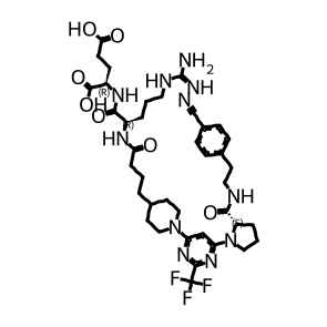 N#Cc1ccc(CCNC(=O)[C@@H]2CCCN2c2cc(N3CCC(CCCC(=O)N[C@H](CCCNC(=N)N)C(=O)N[C@H](CCC(=O)O)C(=O)O)CC3)nc(C(F)(F)F)n2)cc1